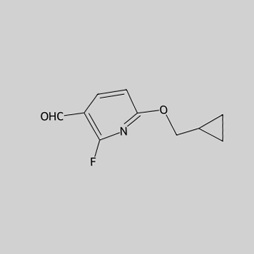 O=Cc1ccc(OCC2CC2)nc1F